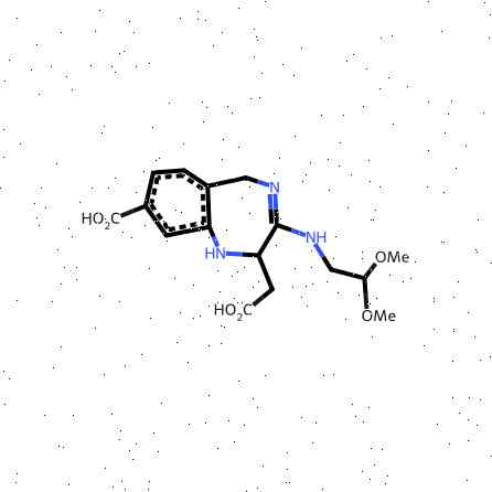 COC(CNC1=NCc2ccc(C(=O)O)cc2NC1CC(=O)O)OC